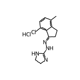 Cc1ccc(Cl)c2c1CCC2=NNC1=NCCN1.Cl